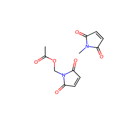 CC(=O)OCN1C(=O)C=CC1=O.CN1C(=O)C=CC1=O